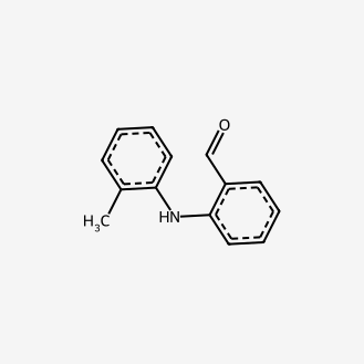 Cc1ccccc1Nc1ccccc1C=O